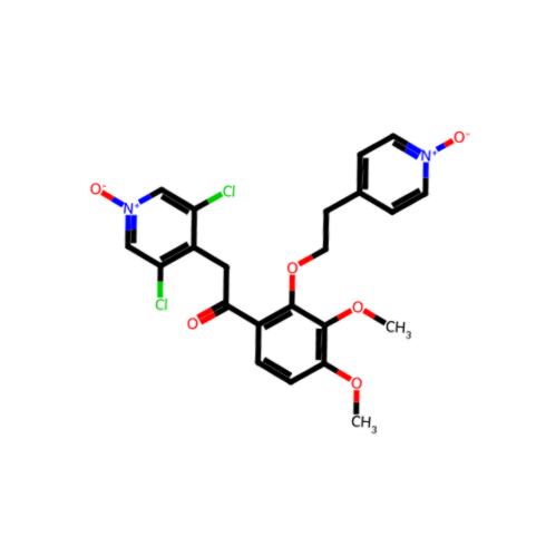 COc1ccc(C(=O)Cc2c(Cl)c[n+]([O-])cc2Cl)c(OCCc2cc[n+]([O-])cc2)c1OC